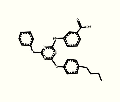 CCCCc1ccc(Oc2nc(Nc3cccc(C(=O)O)c3)nc(Oc3ccccc3)n2)cc1